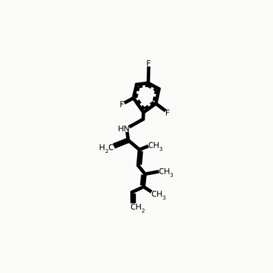 C=C/C(C)=C(C)\C=C(/C)C(=C)NCc1c(F)cc(F)cc1F